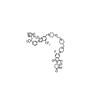 Cn1cnnc1CC1(c2cccc(-n3cc4c(C(F)(F)F)cc(CN5CCC(OCCN6CCC(CN7CCN(c8cc9c(cc8F)C(=O)N(C8CCC(=O)NC8=O)C9=O)CC7)CC6)CC5)cn4c3=O)c2)COC1